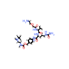 CC(C)[C@H](NC(=O)COCCN)C(=O)N[C@@H](CCCNC(N)=O)C(=O)Nc1ccc(COC(=O)N(C)CCN(C)C(C)(C)C)cc1